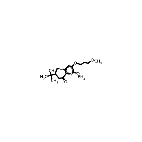 COCCCOc1cc2c(nc1OC)C(=O)CC(C(C)(C)C)CO2